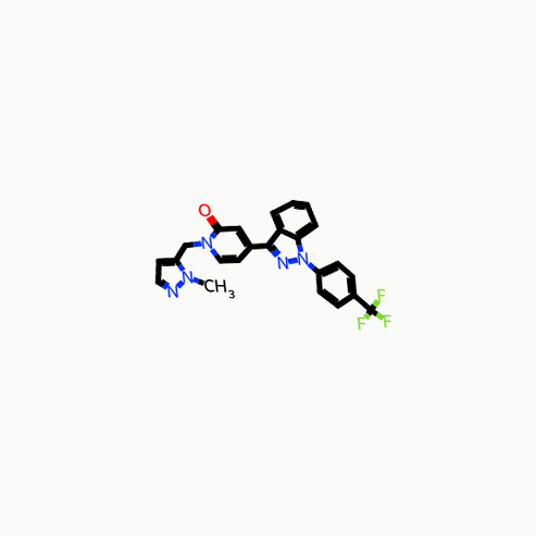 Cn1nccc1Cn1ccc(-c2nn(-c3ccc(C(F)(F)F)cc3)c3ccccc23)cc1=O